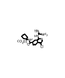 CCOC(=O)C1(NC(=O)c2ccc3c(Cl)cnc(NC(=N)N)c3c2)CCCC1